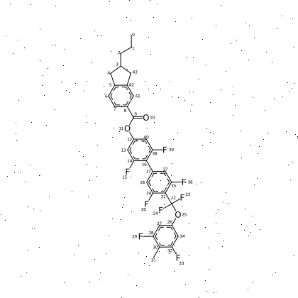 CCCC1Cc2ccc(C(=O)Oc3cc(F)c(-c4cc(F)c(C(F)(F)Oc5cc(F)c(C)c(F)c5)c(F)c4)c(F)c3)cc2C1